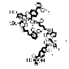 Cc1ncsc1-c1ccc([C@H](C)NC(=O)[C@@H]2C[C@@H](O)CN2C(=O)[C@@H](NC(=O)CCCc2cccc(OC[C@H](CCC(N)=O)NC(=O)[C@@H]3CCCN3C(=O)[C@H](C)NC(=O)c3cc4cc(C(=O)P(=O)(O)O)ccc4[nH]3)c2Cl)C(C)(C)C)cc1